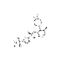 CN(C)S(=O)(=O)c1ccc(S(=O)(=O)Nc2cccc(Cl)c2N2CCC(F)(F)CC2)s1